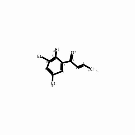 C/C=C/C(=O)c1cc(CC)cc(CC)c1CC